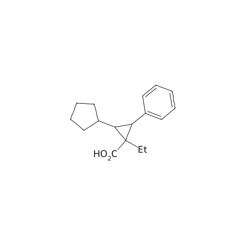 CCC1(C(=O)O)C(c2ccccc2)C1C1CCCC1